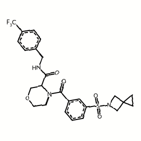 O=C(NCc1ccc(C(F)(F)F)cc1)C1COCCN1C(=O)c1cccc(S(=O)(=O)N2CC3(CC3)C2)c1